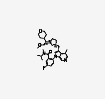 COC[C@@H](C1CCOCC1)N1CC[C@@H](Cc2cn(-c3ccc(F)cc3C(=O)N(C)C(C)C)c3cncc(C)c23)C1